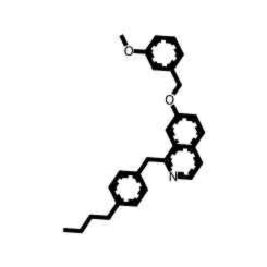 CCCCc1ccc(Cc2nccc3ccc(OCc4cccc(OC)c4)cc23)cc1